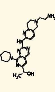 C[C@@H](O)c1cc2cnc(Nc3ccc4c(n3)CCN(CCN)C4)nc2c(N2CCCCC2)n1